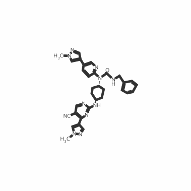 Cn1cc(-c2ccc(N(C(=O)NCc3ccccc3)[C@H]3CC[C@H](Nc4ncc(C#N)c(-c5cnn(C)c5)n4)CC3)nc2)cn1